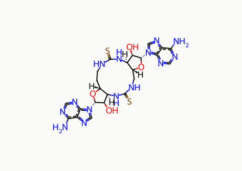 Nc1ncnc2c1ncn2[C@@H]1O[C@@H]2CCNC(=S)N[C@H]3[C@@H](O)[C@H](n4cnc5c(N)ncnc54)O[C@@H]3CNC(=S)N[C@H]2[C@H]1O